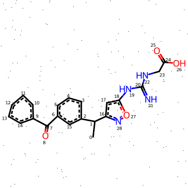 CC(c1cccc(C(=O)c2ccccc2)c1)c1cc(NC(=N)NCC(=O)O)on1